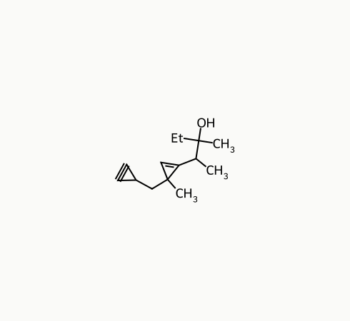 CCC(C)(O)C(C)C1=CC1(C)CC1C#C1